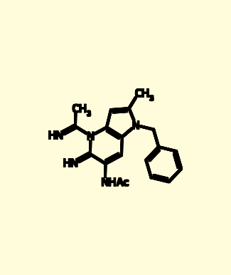 CC(=N)n1c(=N)c(NC(C)=O)cc2c1cc(C)n2Cc1ccccc1